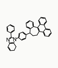 C1=Cc2nc(-c3ccccc3)n(-c3ccc(C4CCc5c(c6ccccc6c6ccccc56)-c5ccccc54)cc3)c2CC1